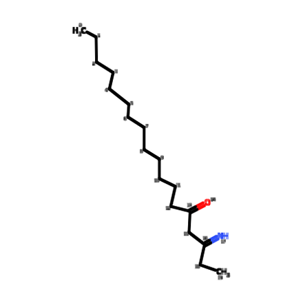 CCCCCCCCCCCCCC(=O)CC(=N)CC